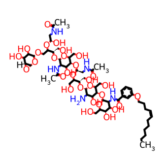 CCCCCC/C=C\CCCOc1cccc(C(=O)NC2C(O)[C@H](O)C(CO)O[C@H]2O[C@@H]2C(CO)O[C@@H](O[C@@H](CO)C(CO)O[C@H](CNC(C)=O)O[C@@H]3C(CO)O[C@@H](O[C@@H](CO)C(CO[C@@H]4OC5O[C@H]5C(O)C4O)O[C@@H](O)CNC(C)=O)C(NC(C)=O)C3O)C(N)C2O)c1